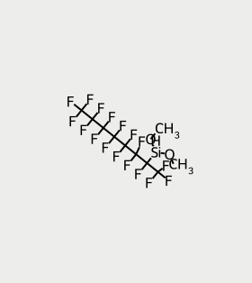 CO[SiH](OC)C(F)(C(F)(F)F)C(F)(F)C(F)(F)C(F)(F)C(F)(F)C(F)(F)C(F)(F)F